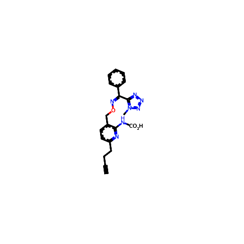 C#CCCc1ccc(CON=C(c2ccccc2)c2nnnn2C)c(NC(=O)O)n1